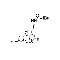 CC(C)(C)OC(=O)NCCCCc1cc(F)ccc1Nc1ccc(C(F)(F)F)cc1C(=O)O